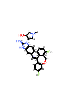 CN1CC(O)[C@@H](n2c(=N)[nH]c3cc(/C=C4/c5ccc(F)cc5OCc5c(F)cccc54)ccc32)C1